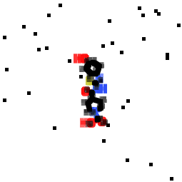 O=C(Nc1nc2ccc(O)cc2s1)C1CCN(C(=O)O)CC1